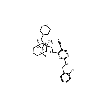 CC1(CNc2nc(NCc3ccccc3Cl)ncc2C#N)C[C@H]2CCC[C@@H](C1)[C@@H]2NCC1CCOCC1